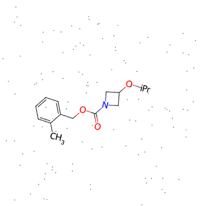 Cc1ccccc1COC(=O)N1CC(OC(C)C)C1